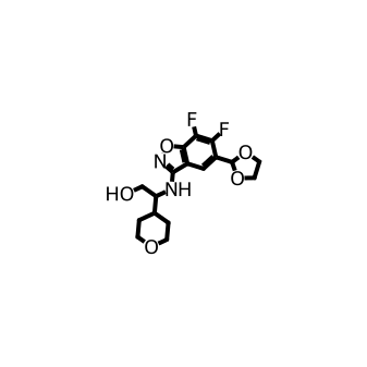 OCC(Nc1noc2c(F)c(F)c(C3OCCO3)cc12)C1CCOCC1